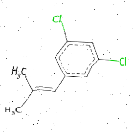 CC(C)=Cc1cc(Cl)cc(Cl)c1